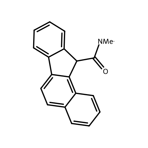 C[N]C(=O)C1c2ccccc2-c2ccc3ccccc3c21